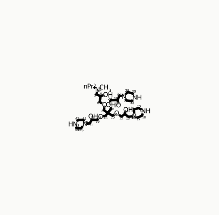 CCCN(C)CC(O)COCC(COCC(O)CN1CCNCC1)(COCC(O)CN1CCNCC1)COCC(O)CN1CCNCC1